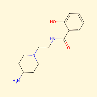 NC1CCN(CCNC(=O)c2ccccc2O)CC1